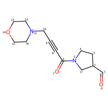 O=CC1CCN(C(=O)C#CCN2CCOCC2)C1